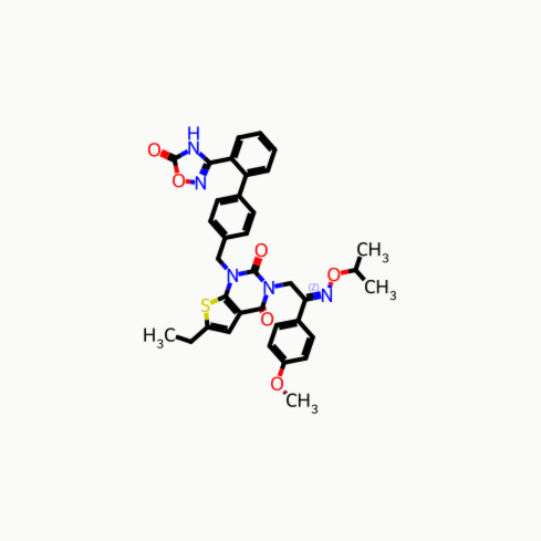 CCc1cc2c(=O)n(C/C(=N\OC(C)C)c3ccc(OC)cc3)c(=O)n(Cc3ccc(-c4ccccc4-c4noc(=O)[nH]4)cc3)c2s1